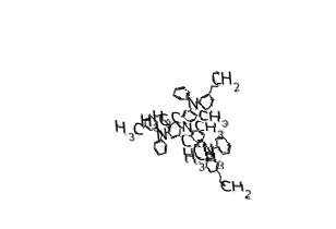 C=CCc1cccc(N(c2ccccc2)c2cc(C)c(N(c3cc(C)c(N(c4ccccc4)c4cccc(C)c4)cc3C)c3cc(C)c(N(c4ccccc4)c4cccc(CC=C)c4)cc3C)cc2C)c1